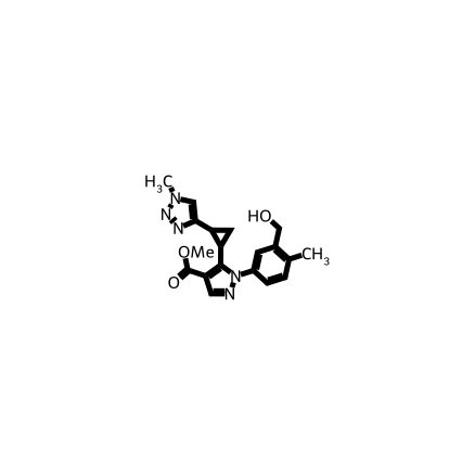 COC(=O)c1cnn(-c2ccc(C)c(CO)c2)c1C1CC1c1cn(C)nn1